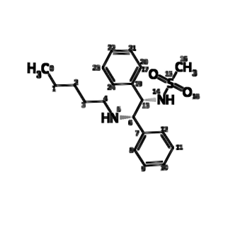 CCCCCN[C@@H](c1ccccc1)[C@@H](NS(C)(=O)=O)c1ccccc1